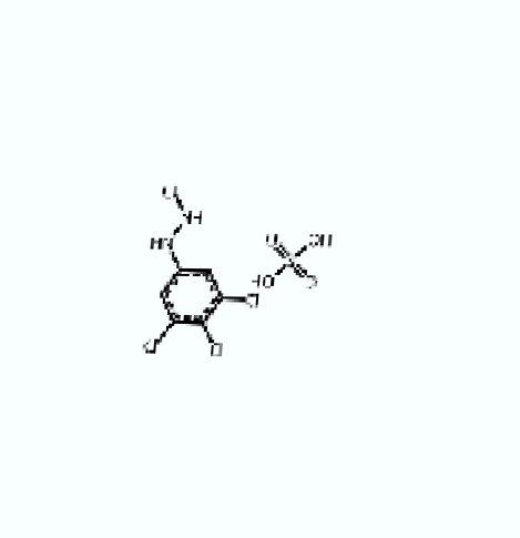 ClNNc1cc(Cl)c(Cl)c(Cl)c1.O=S(=O)(O)O